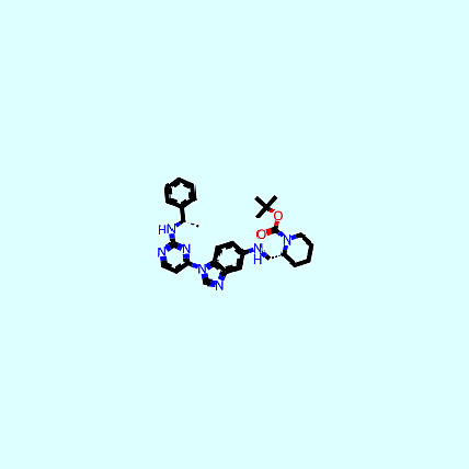 C[C@H](Nc1nccc(-n2cnc3cc(NC[C@H]4CCCCN4C(=O)OC(C)(C)C)ccc32)n1)c1ccccc1